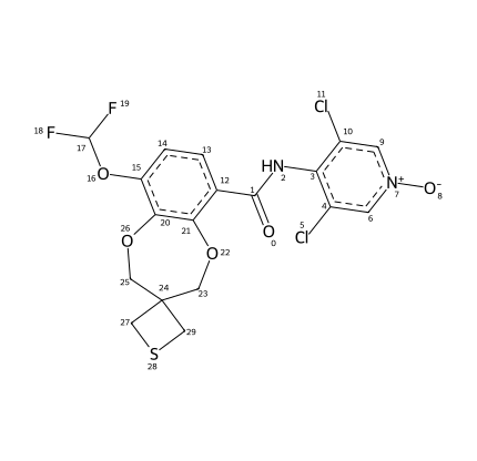 O=C(Nc1c(Cl)c[n+]([O-])cc1Cl)c1ccc(OC(F)F)c2c1OCC1(CO2)CSC1